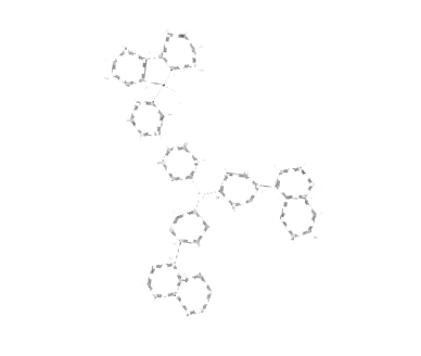 CC1(c2cccc(-c3ccc(N(c4ccc(-c5cccc6ccccc56)cc4)c4ccc(-c5cccc6ccccc56)cc4)cc3)c2)c2ccccc2-c2ccccc21